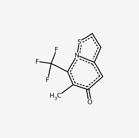 Cc1c(C(F)(F)F)n2sccc2cc1=O